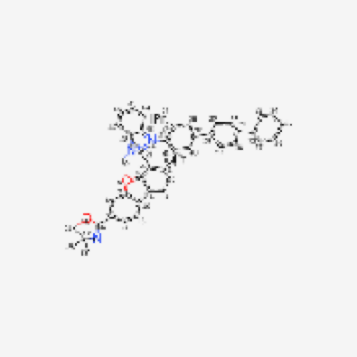 Cc1ccc2c(oc3cc(C4=NC(C)(C)CO4)ccc32)c1-c1n(-c2c(C(C)C)cc(-c3ccc(-c4ccccc4)cc3)cc2C(C)C)c2ccccc2[n+]1C